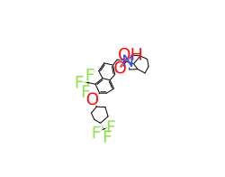 O=C(O)C1C2CCCC1CN(Cc1ccc3c(C(F)(F)F)c(O[C@H]4CC[C@@H](C(F)(F)F)CC4)ccc3c1)C2